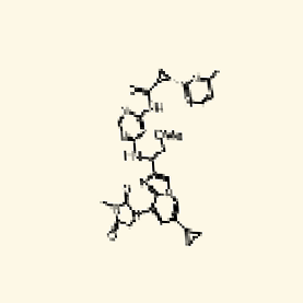 COCC(Nc1cc(NC(=O)[C@H]2C[C@@H]2c2nccc(C)n2)ncn1)c1cn2cc(C3CC3)cc(N3CC(=O)N(C)C3=O)c2n1